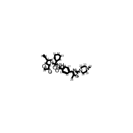 C#CC1CN(C(C=O)(NC(=O)c2ccc(-c3nc(N4CCN(C)CC4)sc3C)cc2)C2CCCCC2)C2C(=O)COC12